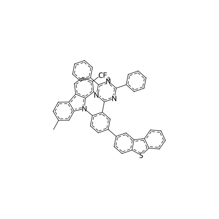 Cc1ccc2c3ccc(C(F)(F)F)cc3n(-c3ccc(-c4ccc5sc6ccccc6c5c4)cc3-c3nc(-c4ccccc4)nc(-c4ccccc4)n3)c2c1